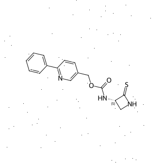 O=C(N[C@H]1CNC1=S)OCc1ccc(-c2ccccc2)nc1